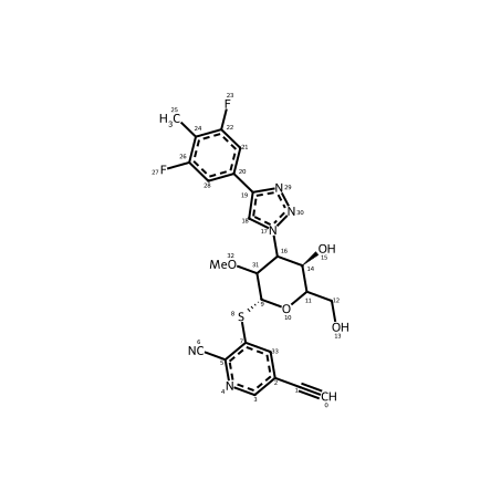 C#Cc1cnc(C#N)c(S[C@H]2OC(CO)[C@H](O)C(n3cc(-c4cc(F)c(C)c(F)c4)nn3)C2OC)c1